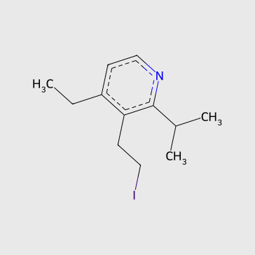 CCc1ccnc(C(C)C)c1CCI